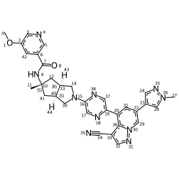 COc1cncc(C(=O)N[C@]2(C)C[C@H]3CN(c4cnc(-c5cc(-c6cnn(C)c6)cn6ncc(C#N)c56)cn4)C[C@H]3C2)c1